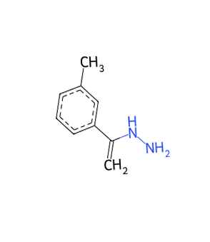 C=C(NN)c1cccc(C)c1